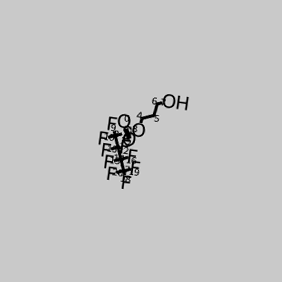 O=S(=O)(OCCCO)C(F)(F)C(F)(F)C(F)(F)C(F)(F)F